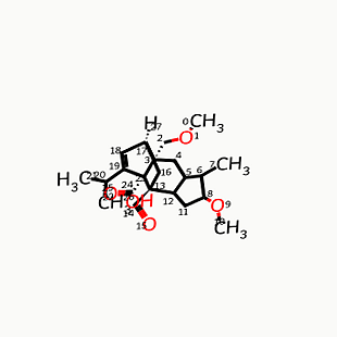 COC[C@@]12CC3C(C)C(OC)CC3[C@@]3(C=O)C[C@H]1C=C(C(C)C)[C@@]23C(=O)O